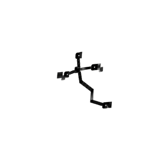 C[Si](C)(Cl)CCCC#N